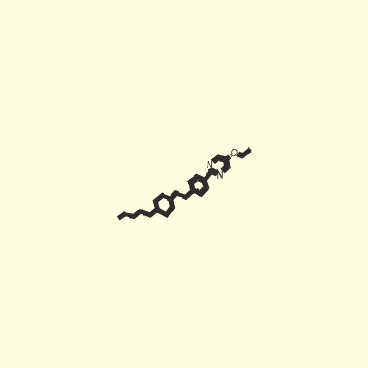 CCCCCC1CCC(CCc2ccc(-c3ncc(OCC)cn3)cc2)CC1